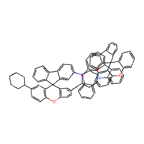 c1ccc2c(c1)Oc1ccccc1C21c2ccccc2-c2ccc(N(c3ccc4c(c3)C3(c5cc(C6CCCCC6)ccc5Oc5ccc(C6CCCCC6)cc53)c3ccccc3-4)c3ccccc3-n3c4ccccc4c4ccccc43)cc21